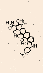 CC(C)N1CCC(Nc2ccc3c(c2O)C(=O)C2=C(O)C4C(=O)C(C(N)=O)=C(O)C(N(C)C)C4CC2C3)CC1